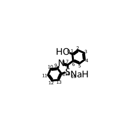 Oc1ccccc1-c1nc2ccccc2s1.[NaH]